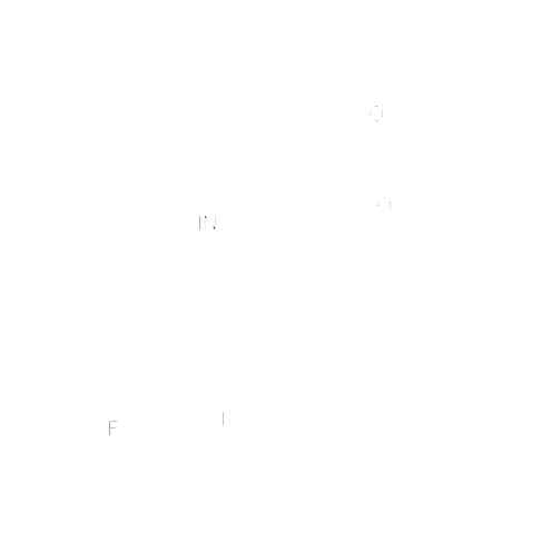 Fc1ccc(NCCC2OCCO2)cc1F